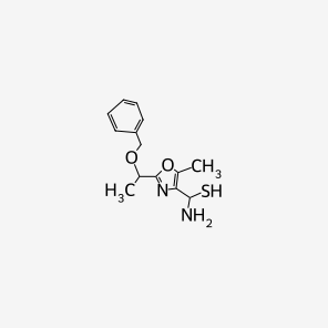 Cc1oc(C(C)OCc2ccccc2)nc1C(N)S